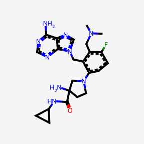 CN(C)Cc1c(F)ccc(N2CCC(N)(C(=O)NC3CC3)C2)c1Cn1cnc2c(N)ncnc21